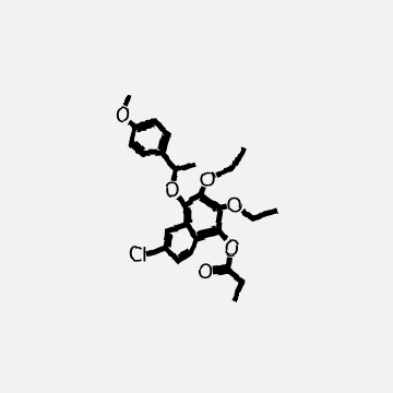 CCOc1c(OCC)c(OC(C)c2ccc(OC)cc2)c2cc(Cl)ccc2c1OC(=O)CC